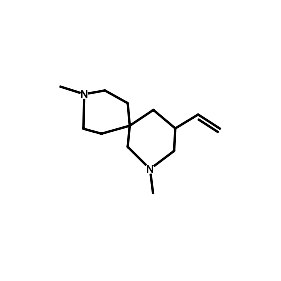 C=CC1CN(C)CC2(CCN(C)CC2)C1